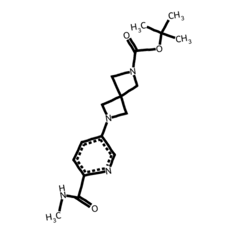 CNC(=O)c1ccc(N2CC3(CN(C(=O)OC(C)(C)C)C3)C2)cn1